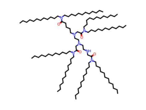 CCCCCCCCCCCCN(CCCCCCCCCCCC)C(=O)CCCCN(CCN(CCNCC(=O)N(CCCCCCCCCCCC)CCCCCCCCCCCC)CC(=O)N(CCCCCCCCCCCC)CCCCCCCCCCCC)CC(=O)N(CCCCCCCCCCCC)CCCCCCCCCCCC